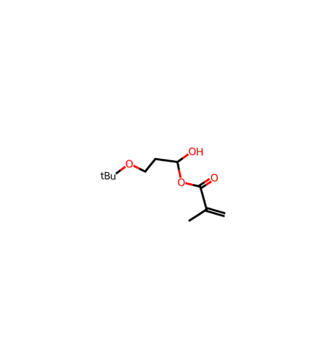 C=C(C)C(=O)OC(O)CCOC(C)(C)C